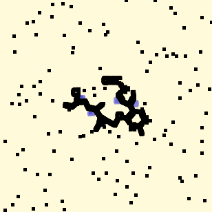 C=C/C(Cl)=C\C=C(/C)C1C(C)C1COc1nc(C)ncc1C(/C=C\N(C)C=O)=C/C